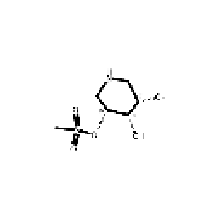 CS(=O)(=O)O[C@@H]1CNC[C@H](O)[C@@H]1O